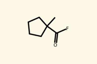 CC1(C(=O)F)CCCC1